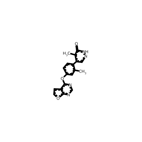 Cc1cc(Oc2ncnc3occc23)ccc1-c1cn[nH]c(=O)c1C